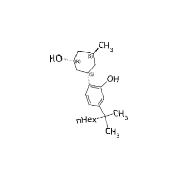 CCCCCCC(C)(C)c1ccc([C@H]2C[C@H](C)C[C@@H](O)C2)c(O)c1